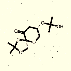 CC(C)(O)O[C@@H]1CO[C@]2(COC(C)(C)O2)C(=O)C1